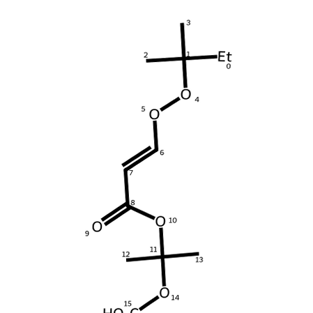 CCC(C)(C)OOC=CC(=O)OC(C)(C)OC(=O)O